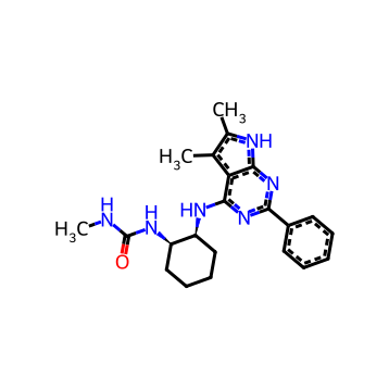 CNC(=O)N[C@@H]1CCCC[C@@H]1Nc1nc(-c2ccccc2)nc2[nH]c(C)c(C)c12